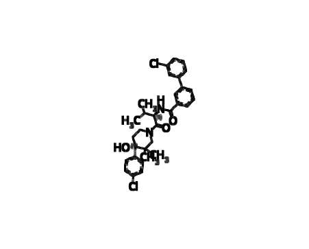 CC(C)[C@@H](NC(=O)c1cccc(-c2cccc(Cl)c2)c1)C(=O)N1CC[C@](O)(c2ccc(Cl)cc2)C(C)(C)C1